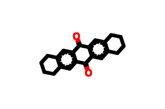 O=C1c2cc3c(cc2C(=O)c2cc4c(cc21)CCCC4)CCCC3